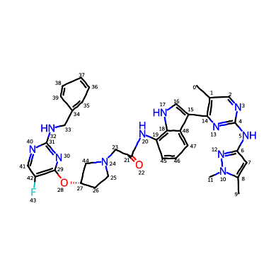 Cc1cnc(Nc2cc(C)n(C)n2)nc1-c1c[nH]c2c(NC(=O)CN3CC[C@H](Oc4nc(NCc5ccccc5)ncc4F)C3)cccc12